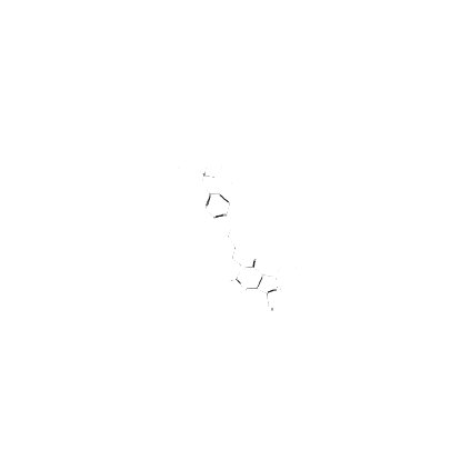 CCCc1nn(C)c2c(=O)n(CCCOc3ccc(OC(C)(C)C(=O)O)cc3)c(C)nc12